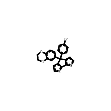 Brc1ccc(C2(c3ccc4c(c3)OCCO4)c3ccsc3-c3sccc32)cc1